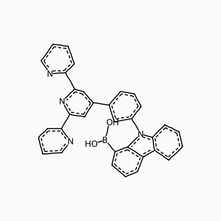 OB(O)c1cccc2c3ccccc3n(-c3cccc(-c4cc(-c5ccccn5)nc(-c5ccccn5)c4)c3)c12